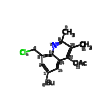 CCC(C)c1cc(CCl)c2nc(C)c(C)c(OC(C)=O)c2c1